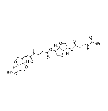 CC(C)OC1CO[C@@H]2C(OC(=O)NCCC(=O)OC3CO[C@H]4[C@@H]3OC[C@H]4OC(=O)CCNC(=O)C(C)C)CO[C@H]12